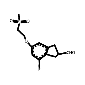 CS(=O)(=O)CCOc1cc(F)c2c(c1)CC(C=O)C2